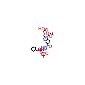 CC(C)(C)OC(=O)C(CNC(=O)c1ccc2c(c1)nc(CCCC(=O)O)n2C(=O)OC(C)(C)C)NC(=O)OCc1ccccc1